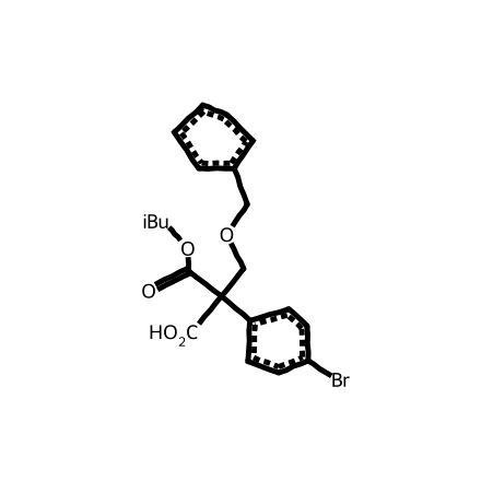 CCC(C)OC(=O)C(COCc1ccccc1)(C(=O)O)c1ccc(Br)cc1